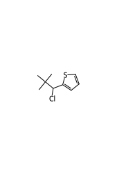 CC(C)(C)C(Cl)c1cccs1